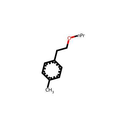 CCCOCCc1ccc(C)cc1